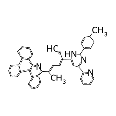 C#C/C(=C\C=C(/C)c1nc2c3ccccc3c3ccccc3c2c2ccccc12)C1=CC(c2ccccn2)=NC(C2=CCC(C)C=C2)N1